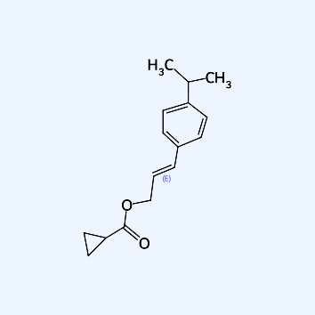 CC(C)c1ccc(/C=C/COC(=O)C2CC2)cc1